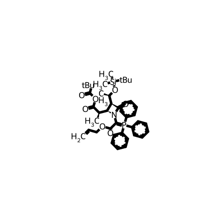 C=CCOC(=O)C(N1C(=O)[C@H]([C@@H](C)O[Si](C)(C)C(C)(C)C)[C@H]1[C@@H](C)C(=O)OC(=O)C(C)(C)C)=P(c1ccccc1)(c1ccccc1)c1ccccc1